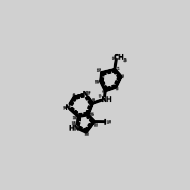 Cc1ccc(Nc2ncnc3[nH]cc(I)c23)cc1